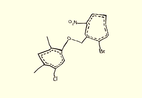 Cc1cc(C)c(OCc2c(Br)cccc2[N+](=O)[O-])cc1Cl